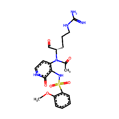 COc1ccccc1S(=O)(=O)Nc1c(N(C(C)=O)[C@H](C=O)CCCNC(=N)N)cc[nH]c1=O